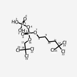 O=P(O)(O)OP(=O)(OCCCCC(Cl)(Cl)Cl)OCC(Cl)(Cl)Cl